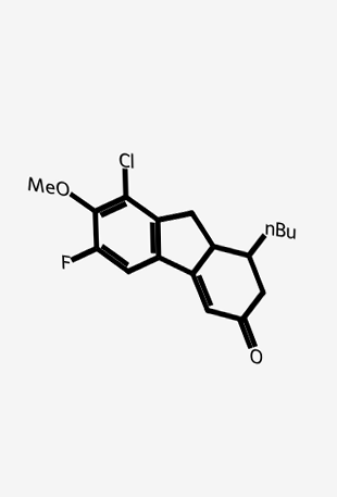 CCCCC1CC(=O)C=C2c3cc(F)c(OC)c(Cl)c3CC21